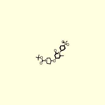 Cc1cc(OC2CCN(C(=O)OC(C)(C)C)CC2)cc(=O)n1-c1ccc(S(C)(=O)=O)cc1